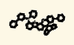 c1ccc(-c2cccc(N(c3ccccc3)c3cccc4c3oc3c5c(ccc34)C3(c4cc(-c6ccccc6)ccc4O5)c4ccccc4-c4ccccc43)c2)cc1